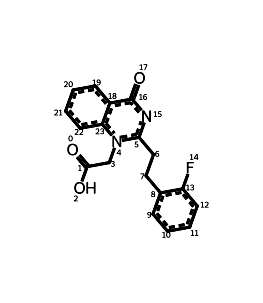 O=C(O)Cn1c(CCc2ccccc2F)nc(=O)c2ccccc21